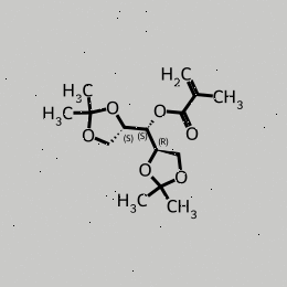 C=C(C)C(=O)O[C@@H]([C@@H]1COC(C)(C)O1)[C@H]1COC(C)(C)O1